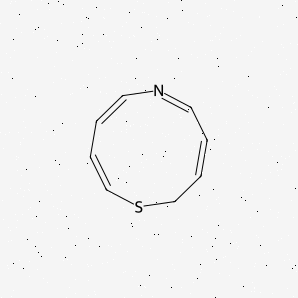 C1=CCSC=CC=CN=C1